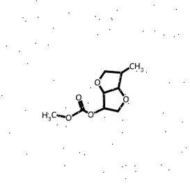 COC(=O)OC1COC2C(C)COC12